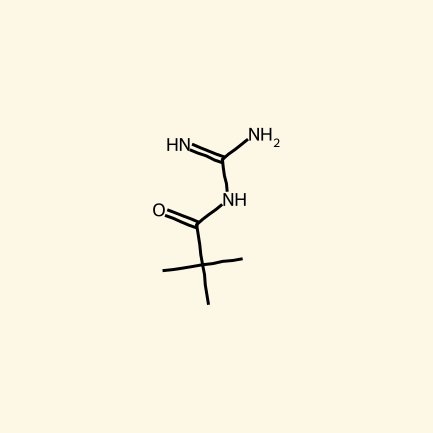 CC(C)(C)C(=O)NC(=N)N